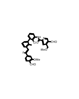 COCc1cc(C(=O)Nc2cccc(-c3cccc(/C=C(\F)c4ccc(C=O)c(OC)c4)c3C)c2Cl)ncc1C=O